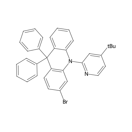 CC(C)(C)c1ccnc(N2c3ccccc3C(c3ccccc3)(c3ccccc3)c3ccc(Br)cc32)c1